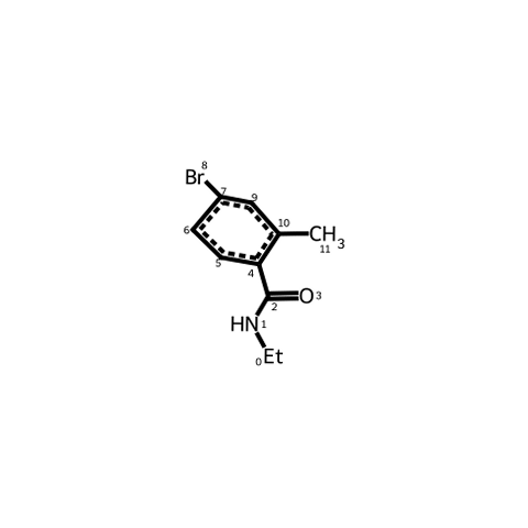 CCNC(=O)c1ccc(Br)cc1C